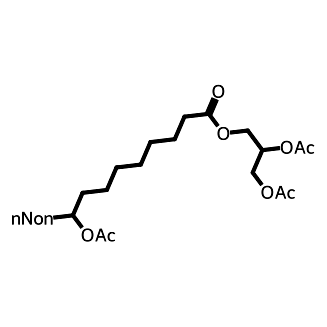 CCCCCCCCCC(CCCCCCCC(=O)OCC(COC(C)=O)OC(C)=O)OC(C)=O